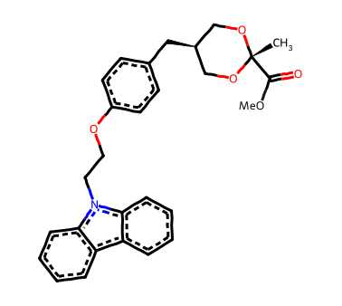 COC(=O)[C@]1(C)OC[C@@H](Cc2ccc(OCCn3c4ccccc4c4ccccc43)cc2)CO1